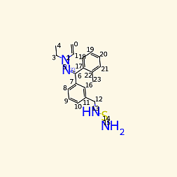 C=CN(CC)/N=C(/c1cccc(CNSN)c1)c1ccccc1C